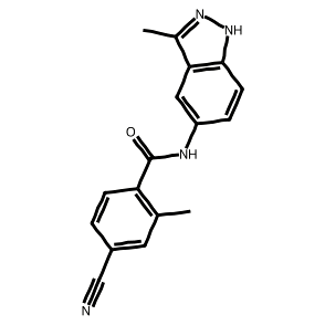 Cc1cc(C#N)ccc1C(=O)Nc1ccc2[nH]nc(C)c2c1